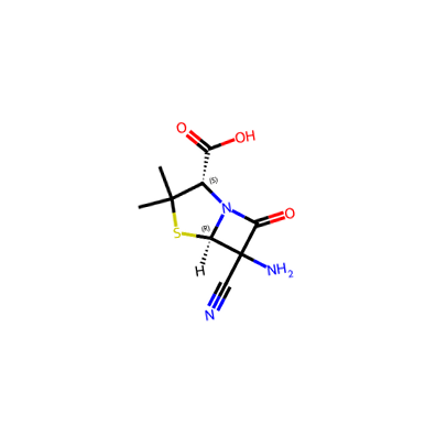 CC1(C)S[C@H]2N(C(=O)C2(N)C#N)[C@H]1C(=O)O